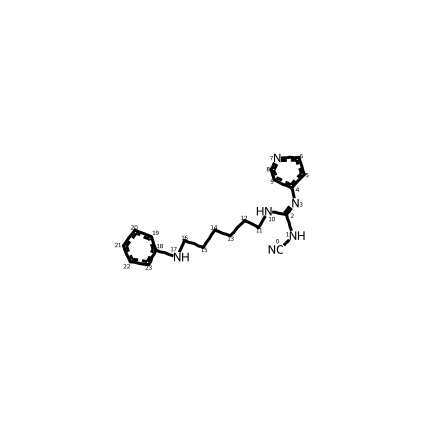 N#CNC(=Nc1ccncc1)NCCCCCCNc1ccccc1